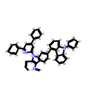 C=Nc1c(/C=C\C)n(-c2cc(-c3ccccc3)cc(-c3ccccc3)n2)c2cc(-c3cccc4c3c3ccccc3n4-c3ccccc3)ccc12